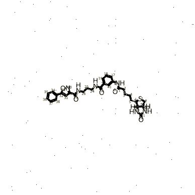 O=C(CCCC[C@H]1SC[C@H]2NC(=O)N[C@H]21)Nc1cccc(C(=O)NCCCNC(=O)c2cc(-c3ccccc3)on2)c1